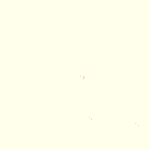 Cc1cc(C)cc(NC(=O)c2ccccc2C(=O)NC(C)(C)C#N)c1